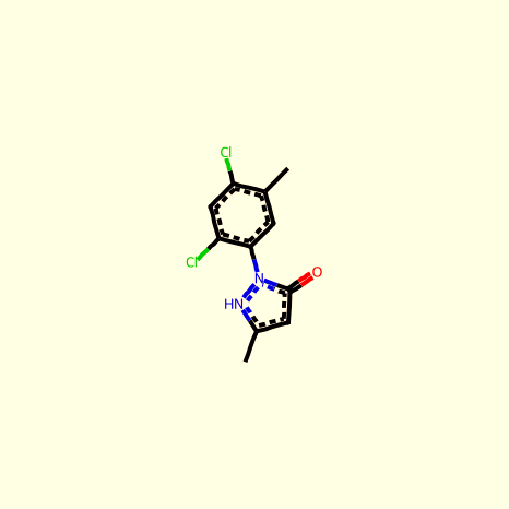 Cc1cc(=O)n(-c2cc(C)c(Cl)cc2Cl)[nH]1